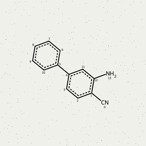 N#Cc1ccc(-c2ccccc2)cc1N